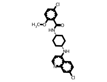 COc1ccc(Cl)cc1C(=O)N[C@H]1CC[C@@H](Nc2ccnc3cc(Cl)ccc23)CC1